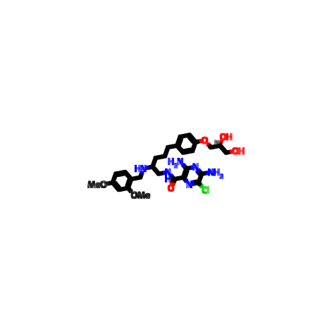 COc1ccc(CNC(CCCc2ccc(OC[C@@H](O)CO)cc2)CNC(=O)c2nc(Cl)c(N)nc2N)c(OC)c1